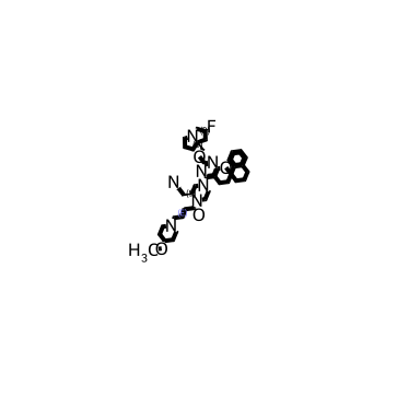 COC1CCN(C/C=C/C(=O)N2CCN(c3nc(OC[C@@]45CCCN4C[C@H](F)C5)nc4c3CCC3(CCCc5ccccc53)O4)C[C@@H]2CC#N)CC1